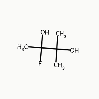 CC(C)(O)C(C)(O)F